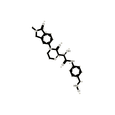 CN1Cc2cc(N3CCO[C@H]([C@@H](O)C(=O)Nc4ccc(CNCl)cc4)C3=O)ccc2C1=O